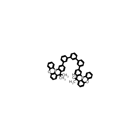 CC1(C)c2ccc(-c3cccc(-c4cccc(-c5cccc(-c6ccc7c(c6)N6c8ccccc8Oc8cccc(c86)C7(C)C)c5)c4)c3)cc2N2c3ccccc3Oc3cccc1c32